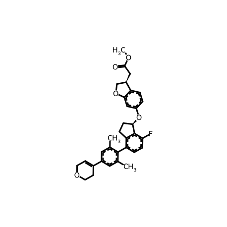 COC(=O)C[C@@H]1COc2cc(O[C@@H]3CCc4c(-c5c(C)cc(C6=CCOCC6)cc5C)ccc(F)c43)ccc21